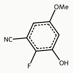 COc1cc(O)c(F)c(C#N)c1